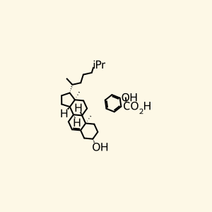 CC(C)CCCC(C)[C@H]1CC[C@H]2[C@@H]3CC=C4C[C@@H](O)CC[C@]4(C)[C@H]3CC[C@]12C.O=C(O)O.c1ccccc1